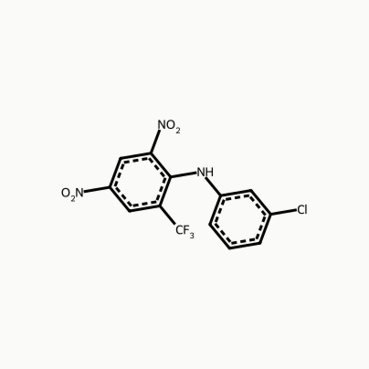 O=[N+]([O-])c1cc([N+](=O)[O-])c(Nc2cccc(Cl)c2)c(C(F)(F)F)c1